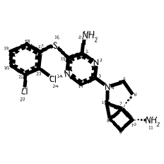 Nc1nc(N2CC[C@@]34C(C[C@H]3N)C24)cnc1Sc1cccc(Cl)c1Cl